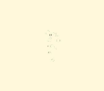 CC(=O)N1CCC[C@H]1C(=O)N[C@@H](CC(C)C)C(=O)N[C@@H](Cc1cncn1C(C)c1ccccc1)C(=O)N[C@@H](CO)C(=O)N[C@H](C(N)=O)[C@@H](C)OP(=O)(O)OCCc1cccs1